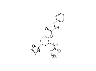 CC(C)(C)OC(=O)NC1CC(c2nnco2)CCC1OC(=O)NCc1ccccc1